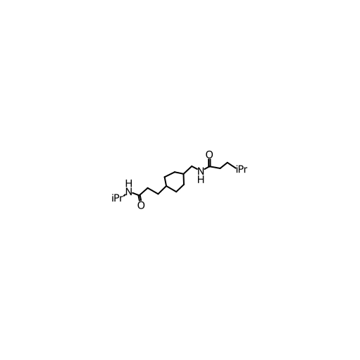 CC(C)CCC(=O)NCC1CCC(CCC(=O)NC(C)C)CC1